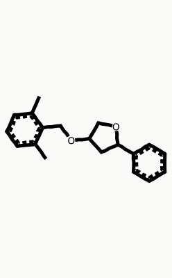 Cc1cccc(C)c1COC1COC(c2ccccc2)C1